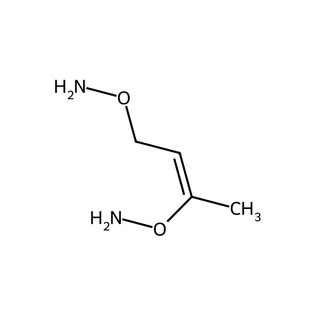 CC(=CCON)ON